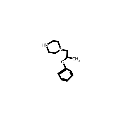 CC(CN1CCNCC1)Oc1ccccc1